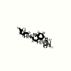 Cc1ccc(CNc2ccc3c(NS(=O)(=O)N(C)C)cccc3n2)o1